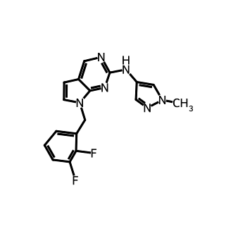 Cn1cc(Nc2ncc3ccn(Cc4cccc(F)c4F)c3n2)cn1